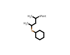 CCCCCC(C)[CH]C(C)SC1CCCCC1